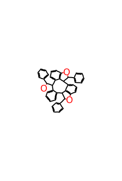 c1ccc(C2Oc3cccc4c3C2c2cccc3c2C(c2cccc5c2C4C(c2ccccc2)O5)C(c2ccccc2)O3)cc1